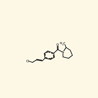 CC1CCCCN1C(=O)c1ccc(/C=C/CCl)cc1